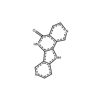 O=c1[nH]c2c3cnccc3[nH]c2c2cnccc12